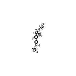 Cc1oc(=O)oc1CNc1ccc(-c2cc3c(cc2F)c(=O)c(C(=O)OCc2oc(=O)oc2C)c2n3C(C)S2)cc1